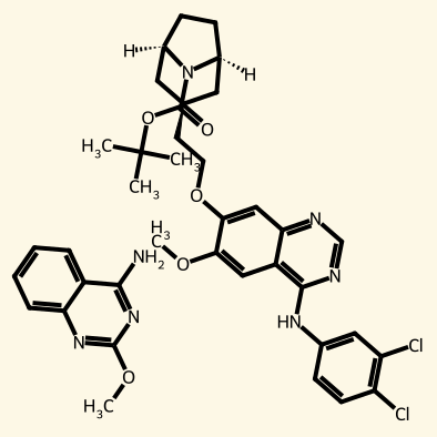 COc1cc2c(Nc3ccc(Cl)c(Cl)c3)ncnc2cc1OCC[C@H]1C[C@H]2CC[C@@H](C1)N2C(=O)OC(C)(C)C.COc1nc(N)c2ccccc2n1